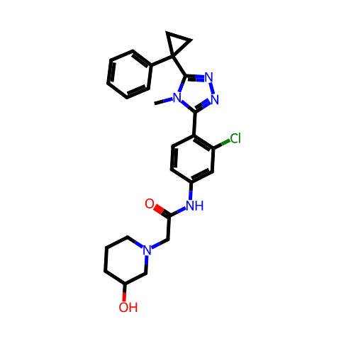 Cn1c(-c2ccc(NC(=O)CN3CCCC(O)C3)cc2Cl)nnc1C1(c2ccccc2)CC1